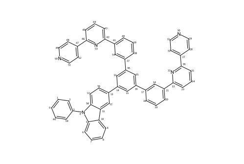 c1ccc(-n2c3ccccc3c3cc(-c4cc(-c5cccc(-c6cccc(-c7ccncc7)n6)c5)cc(-c5cccc(-c6cccc(-c7ccncc7)n6)c5)c4)ccc32)cc1